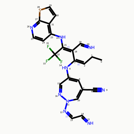 CC/C=C(NC1=CC(C#N)=CN(/N=C\C=N)N=C1)\C(C=N)=C(\Nc1ccnc2sccc12)C(F)(F)F